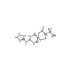 CC(C)C(=O)N1CCC2(CC1C)OCC(CN1CCCC1)CO2